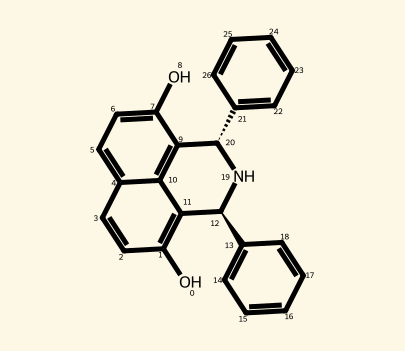 Oc1ccc2ccc(O)c3c2c1[C@H](c1ccccc1)N[C@H]3c1ccccc1